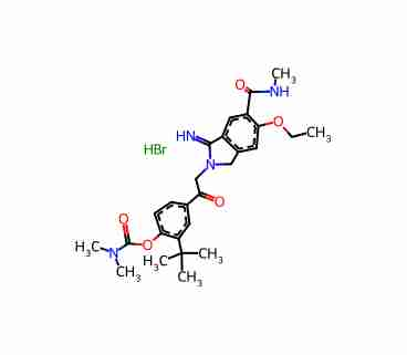 Br.CCOc1cc2c(cc1C(=O)NC)C(=N)N(CC(=O)c1ccc(OC(=O)N(C)C)c(C(C)(C)C)c1)C2